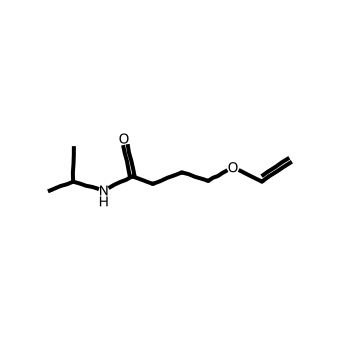 C=COCCCC(=O)NC(C)C